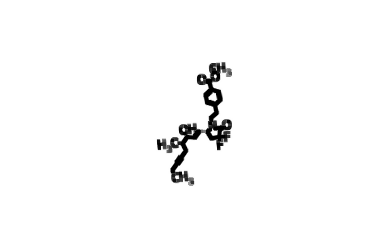 CCC#CC[C@@H](C)[C@H](O)C=C[C@H]1CC(F)(F)C(=O)N1CCc1ccc(C(=O)OC)cc1